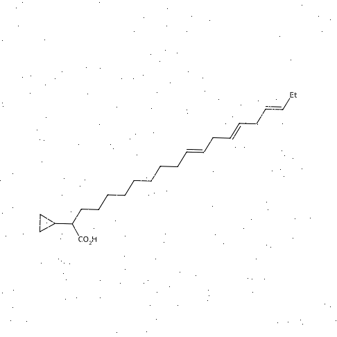 CCC=CCC=CCC=CCCCCCCCCC(C(=O)O)C1CC1